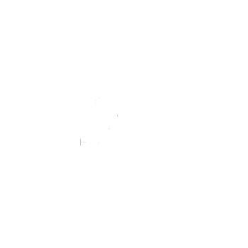 CCCCC([SiH3])(Cl)CCl